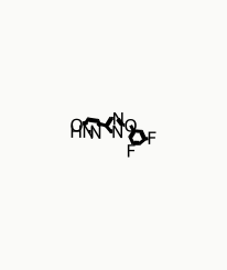 O=c1ccc(-c2cnc(Oc3cc(F)cc(F)c3)nc2)n[nH]1